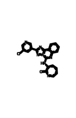 O=c1nccccc1Nc1nc2ccccc2c2nc(-c3cncc(Cl)c3)nn12